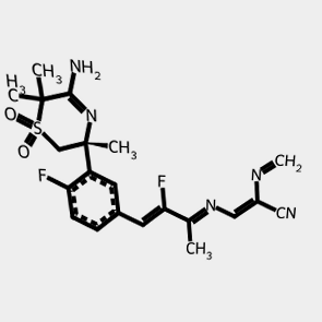 C=N\C(C#N)=C/N=C(C)/C(F)=C/c1ccc(F)c([C@]2(C)CS(=O)(=O)C(C)(C)C(N)=N2)c1